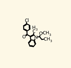 CCC(OC)n1c(C)c(C(=O)c2ccc(Cl)cc2)c2ccccc21